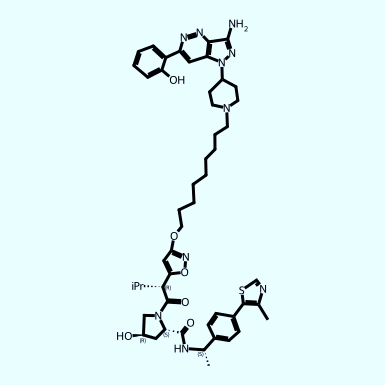 Cc1ncsc1-c1ccc([C@H](C)NC(=O)[C@@H]2C[C@@H](O)CN2C(=O)[C@@H](c2cc(OCCCCCCCCCN3CCC(n4nc(N)c5nnc(-c6ccccc6O)cc54)CC3)no2)C(C)C)cc1